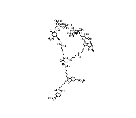 CC[N+]1=C(/C=C/C=C/C=C2/N(CCCCCC(=O)NC(CSSCCCC(=O)OCC#Cc3cn(C4OC(COP(=O)(O)OP(=O)(O)OP(=O)(O)O)C(O)C4O)c4ncnc(N)c34)C(=O)NCCCCCC(=O)NCC#Cc3cn(C4CC(OP(=O)(O)O)C(COP(=O)(O)O)O4)c(=O)cc3N)c3ccc(S(=O)(=O)O)cc3C2(C)C)C(C)(C)c2cc(S(=O)(=O)O)ccc21